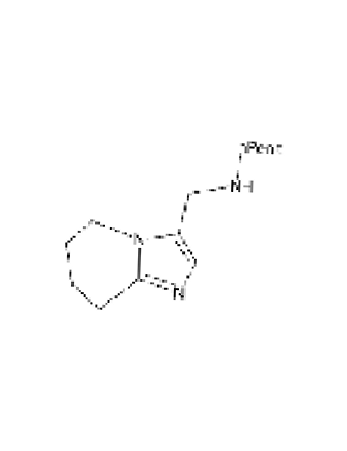 CCCCCNCc1cnc2n1CCCC2